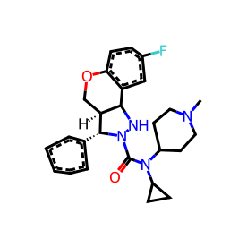 CN1CCC(N(C(=O)N2NC3c4cc(F)ccc4OC[C@@H]3[C@H]2c2ccccc2)C2CC2)CC1